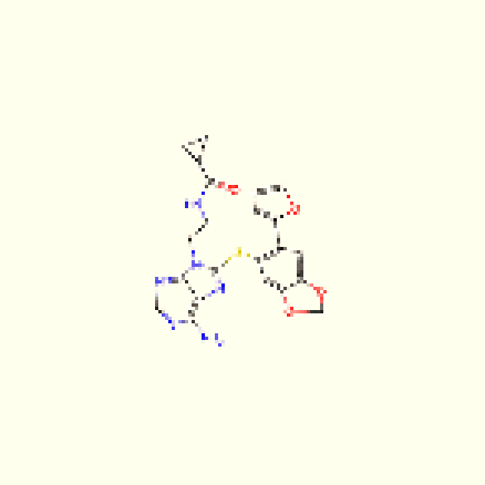 Nc1ncnc2c1nc(Sc1cc3c(cc1-c1ccco1)OCO3)n2CCNC(=O)C1CC1